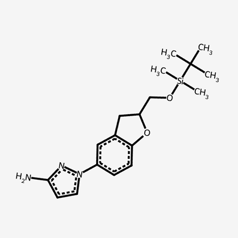 CC(C)(C)[Si](C)(C)OCC1Cc2cc(-n3ccc(N)n3)ccc2O1